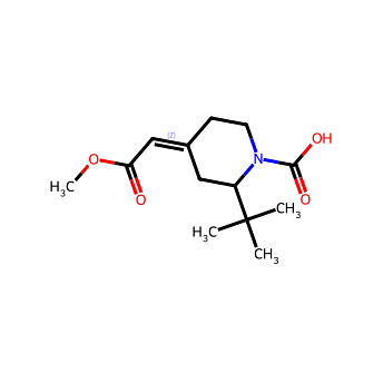 COC(=O)/C=C1/CCN(C(=O)O)C(C(C)(C)C)C1